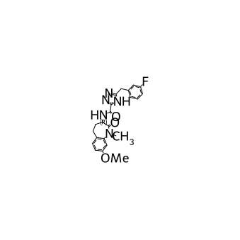 COc1ccc2c(c1)N(C)C(=O)[C@H](NC(=O)c1nnc(Cc3cccc(F)c3)[nH]1)CC2